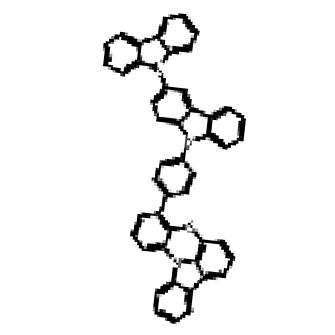 c1cc(-c2ccc(-n3c4ccccc4c4cc(-n5c6ccccc6c6ccccc65)ccc43)cc2)c2c(c1)-n1c3ccccc3c3cccc(c31)S2